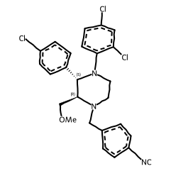 [C-]#[N+]c1ccc(CN2CCN(c3ccc(Cl)cc3Cl)[C@@H](c3ccc(Cl)cc3)[C@@H]2COC)cc1